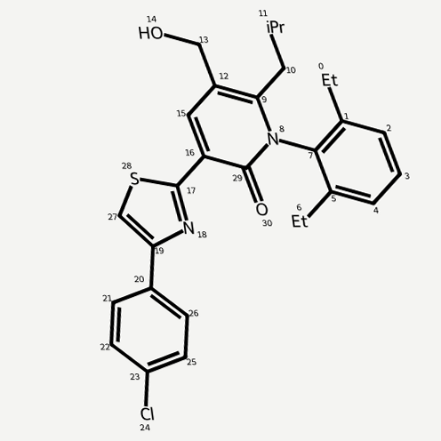 CCc1cccc(CC)c1-n1c(CC(C)C)c(CO)cc(-c2nc(-c3ccc(Cl)cc3)cs2)c1=O